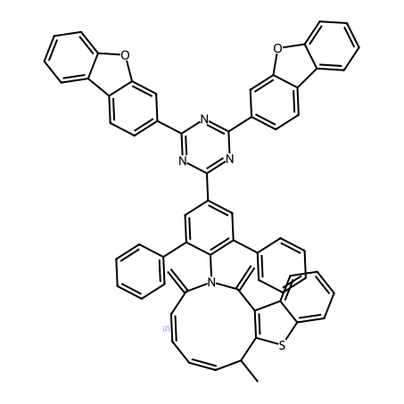 C=C1/C=C\C=CC(C)c2sc3ccccc3c2C(=C)N1c1c(-c2ccccc2)cc(-c2nc(-c3ccc4c(c3)oc3ccccc34)nc(-c3ccc4c(c3)oc3ccccc34)n2)cc1-c1ccccc1